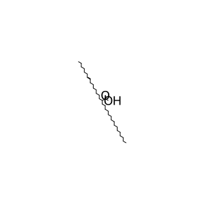 CCCCCCC=CCCCCCCCC(CCCCCCCCCCCCCCCC)C(=O)O